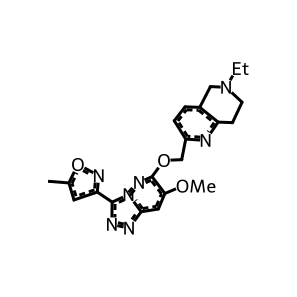 [CH2]CN1CCc2nc(COc3nn4c(-c5cc(C)on5)nnc4cc3OC)ccc2C1